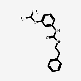 CC(C)Oc1cccc(NC(=O)NCCc2ccccc2)c1